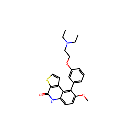 CCN(CC)CCOc1cccc(-c2c(OC)ccc3[nH]c(=O)c4sccc4c23)c1